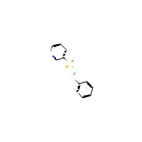 O=S(=O)(ONc1ccccc1)c1cccnc1